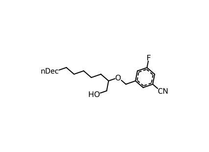 CCCCCCCCCCCCCCCC(CO)OCc1cc(F)cc(C#N)c1